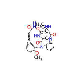 CN[C@@H](C)C(=O)NC1CN2C(=O)CCCCNC(=O)c3ccc4c(c(OC)ccc4c3)CN(C1=O)c1ccccc12